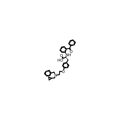 O=C(c1ccccc1)c1ccccc1N[C@@H](Cc1ccc(OCCN(Cc2ccccc2)CC2CC2)cc1)C(=O)O